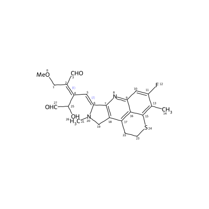 COC/C(C=O)=C(/C=C1/c2nc3cc(F)c(C)c4c3c(c2CN1C)CCS4)C(O)C=O